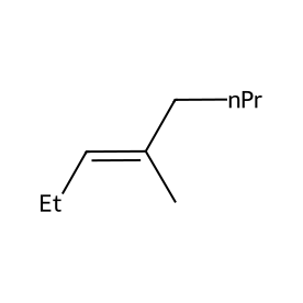 CC/C=C(\C)CCCC